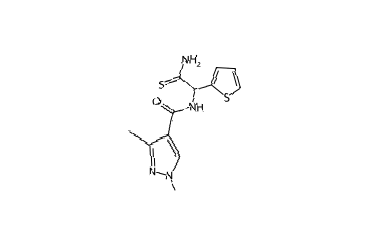 Cc1nn(C)cc1C(=O)NC(C(N)=S)c1cccs1